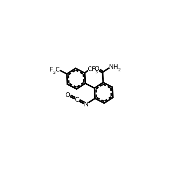 NC(=O)c1cccc(N=C=O)c1-c1ccc(C(F)(F)F)cc1C(F)(F)F